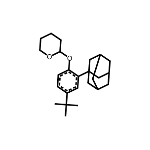 CC(C)(C)c1ccc(OC2CCCCO2)c(C23CC4CC(CC(C4)C2)C3)c1